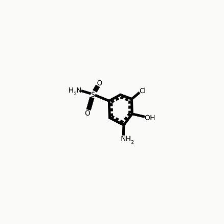 Nc1cc(S(N)(=O)=O)cc(Cl)c1O